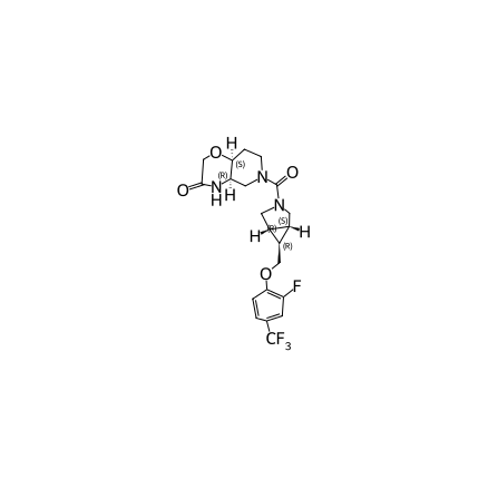 O=C1CO[C@H]2CCN(C(=O)N3C[C@@H]4[C@@H](COc5ccc(C(F)(F)F)cc5F)[C@@H]4C3)C[C@H]2N1